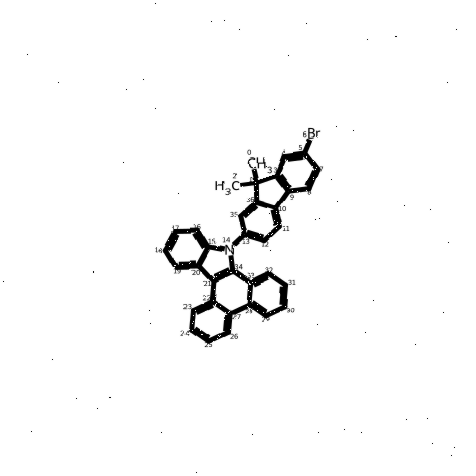 CC1(C)c2cc(Br)ccc2-c2ccc(-n3c4ccccc4c4c5ccccc5c5ccccc5c43)cc21